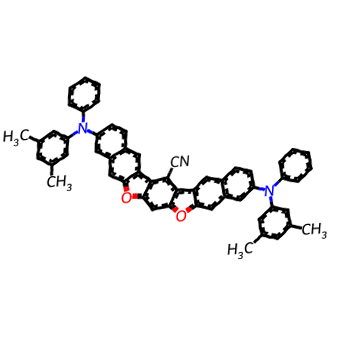 Cc1cc(C)cc(N(c2ccccc2)c2ccc3cc4c(cc3c2)oc2cc3oc5cc6cc(N(c7ccccc7)c7cc(C)cc(C)c7)ccc6cc5c3c(C#N)c24)c1